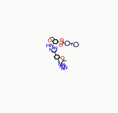 C[C@@H](Cn1cnnn1)Oc1cc(-c2cnc(Nc3cc(S(=O)(=O)N4CCC(N5CCCCC5)CC4)cc4c3OCC4)nc2)ccc1C#N